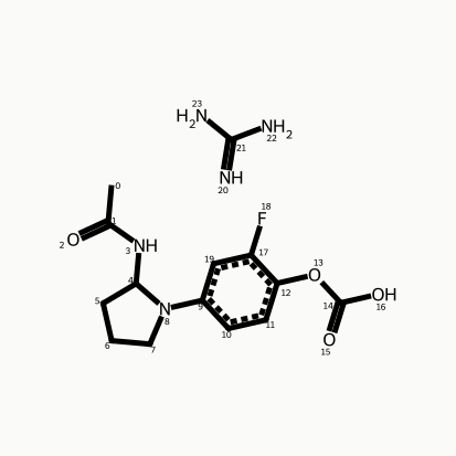 CC(=O)NC1CCCN1c1ccc(OC(=O)O)c(F)c1.N=C(N)N